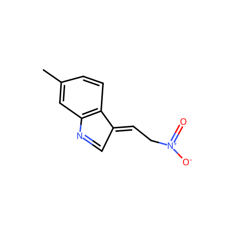 Cc1ccc2c(c1)N=CC2=CC[N+](=O)[O-]